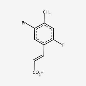 Cc1cc(F)c(C=CC(=O)O)cc1Br